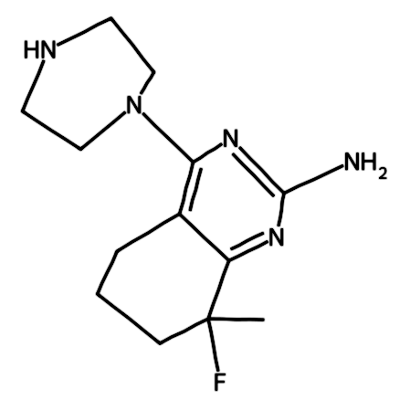 CC1(F)CCCc2c(N3CCNCC3)nc(N)nc21